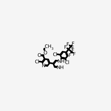 CCOC(=O)c1cc(/C(C=N)=C/Nc2c(Cl)cc(C(F)(C(F)(F)F)C(F)(F)F)cc2Cl)cnc1Cl